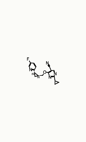 N#Cc1cnc(C2CC2)nc1OC[C@H]1C[C@@H]1c1ccc(F)cn1